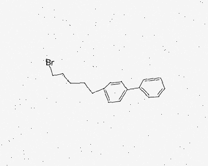 BrCCCCCc1ccc(-c2ccccc2)cc1